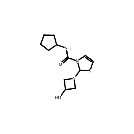 O=C(NC1CCCC1)N1C=CSC1N1CC(O)C1